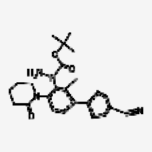 Cc1c(-c2ccc(C#N)cc2)ccc(N2CCCCC2=O)c1N(N)C(=O)OC(C)(C)C